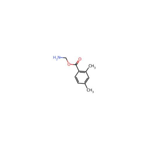 Cc1ccc(C(=O)OCN)c(C)c1